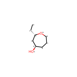 CC[C@H]1C[C@H](O)CCCO1